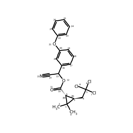 CC1(C)[C@H](CC(Cl)(Cl)Cl)[C@H]1C(=O)OC(C#N)c1cccc(Oc2ccccc2)c1